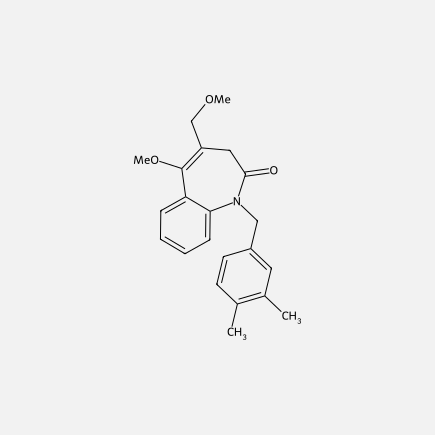 COCC1=C(OC)c2ccccc2N(Cc2ccc(C)c(C)c2)C(=O)C1